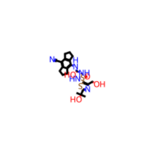 CC(C)(O)c1nc(CO)c(S(=N)(=O)NC(O)Nc2c3c(c(C#N)c4c2CCC4)CCC3)s1